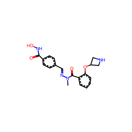 CN(N=Cc1ccc(C(=O)NO)cc1)C(=O)c1ccccc1OC1CNC1